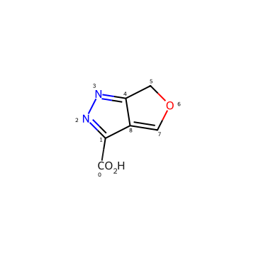 O=C(O)C1=NN=C2COC=C21